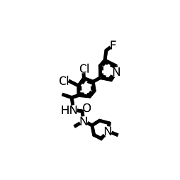 CC(NC(=O)N(C)C1CCN(C)CC1)c1ccc(-c2cncc(CF)c2)c(Cl)c1Cl